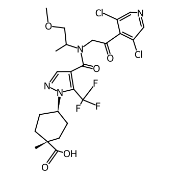 COCC(C)N(CC(=O)c1c(Cl)cncc1Cl)C(=O)c1cnn([C@H]2CC[C@](C)(C(=O)O)CC2)c1C(F)(F)F